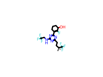 C[C@@H](CCc1nc(NCC(F)(F)F)nc(C2=C(F)C(O)CCC2)n1)C(F)(F)F